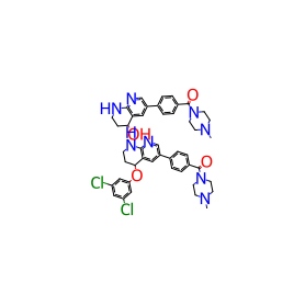 CN1CCN(C(=O)c2ccc(-c3cnc4c(c3)C(O)CCN4)cc2)CC1.CN1CCN(C(=O)c2ccc(-c3cnc4c(c3)C(Oc3cc(Cl)cc(Cl)c3)CCN4)cc2)CC1